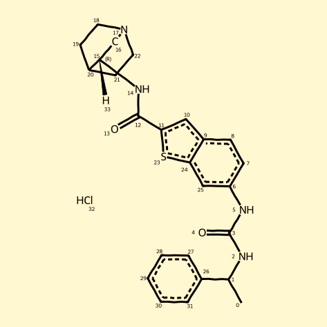 CC(NC(=O)Nc1ccc2cc(C(=O)N[C@H]3CN4CCC3CC4)sc2c1)c1ccccc1.Cl